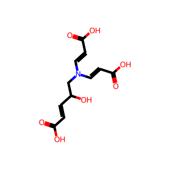 O=C(O)C=CC(O)CN(C=CC(=O)O)C=CC(=O)O